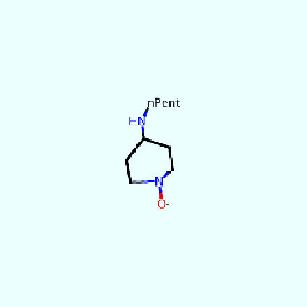 CCCCCNC1CCN([O])CC1